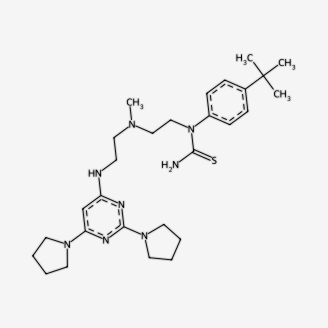 CN(CCNc1cc(N2CCCC2)nc(N2CCCC2)n1)CCN(C(N)=S)c1ccc(C(C)(C)C)cc1